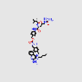 CCCCc1nc2c(N)nc3ccccc3c2n1Cc1ccc(CNC(=O)OCc2ccc(NC(=O)[C@H](CCCNC(N)=O)NC(=O)[C@@H](C)C(C)C)cc2)cc1